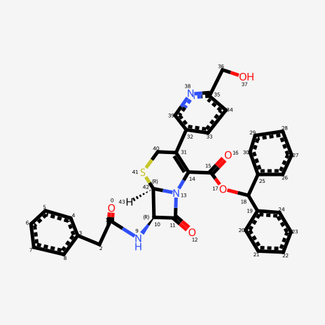 O=C(Cc1ccccc1)N[C@@H]1C(=O)N2C(C(=O)OC(c3ccccc3)c3ccccc3)=C(c3ccc(CO)nc3)CS[C@H]12